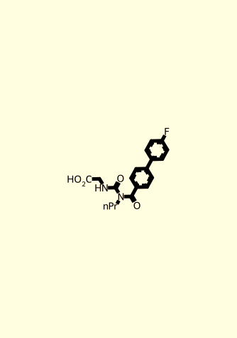 CCCN(C(=O)NCC(=O)O)C(=O)c1ccc(-c2ccc(F)cc2)cc1